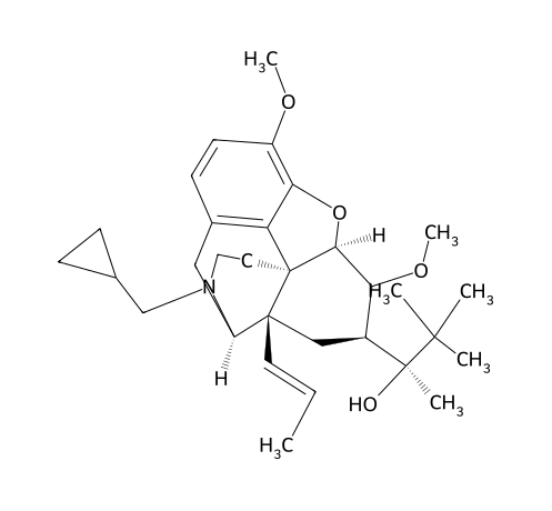 C/C=C/[C@]12C[C@H]([C@](C)(O)C(C)(C)C)C(OC)[C@@H]3Oc4c(OC)ccc5c4[C@@]31CCN(CC1CC1)[C@@H]2C5